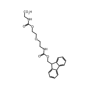 O=C(O)CNC(=O)OCCOCCNC(=O)OCC1c2ccccc2-c2ccccc21